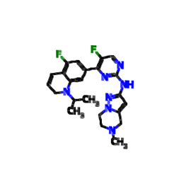 CC(C)N1CC=Cc2c(F)cc(-c3nc(Nc4cc5n(n4)CCN(C)C5)ncc3F)cc21